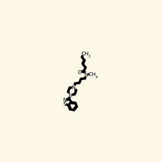 CCC=CCC(=O)N(C)CCCCN1CCN(c2nsc3ccccc23)CC1